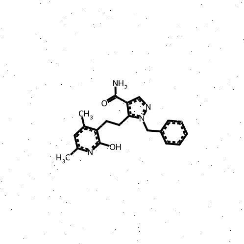 Cc1cc(C)c(CCc2c(C(N)=O)cnn2Cc2ccccc2)c(O)n1